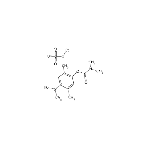 CCOS(=O)(=O)[O-].CC[S+](C)c1cc(C)c(OC(=O)N(C)C)cc1C